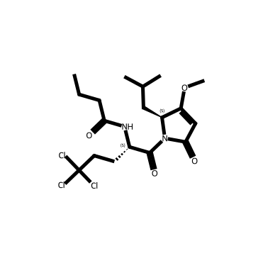 CCCC(=O)N[C@@H](CCC(Cl)(Cl)Cl)C(=O)N1C(=O)C=C(OC)[C@@H]1CC(C)C